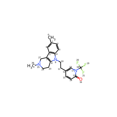 Cc1ccc2c(c1)c1c(n2CCc2ccc(=O)n(C(F)(F)F)c2)CCN(C)C1